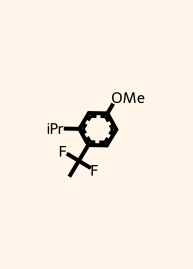 COc1ccc(C(C)(F)F)c(C(C)C)c1